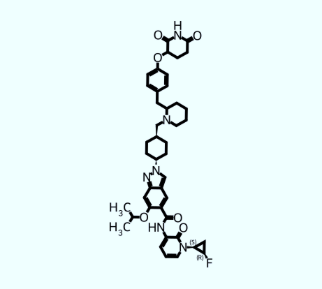 CC(C)Oc1cc2nn([C@H]3CC[C@H](CN4CCCCC4Cc4ccc(OC5CCC(=O)NC5=O)cc4)CC3)cc2cc1C(=O)Nc1cccn([C@H]2C[C@H]2F)c1=O